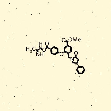 COC(=O)c1ccc(CN2C[C@H](c3ccccc3)CC2=O)c(Oc2ccc(C(=O)ONC(C)=N)cc2)c1